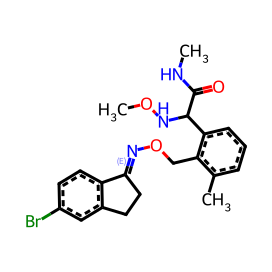 CNC(=O)C(NOC)c1cccc(C)c1CO/N=C1\CCc2cc(Br)ccc21